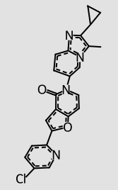 Cc1c(C2CC2)nc2ccc(-n3ccc4oc(-c5ccc(Cl)cn5)cc4c3=O)cn12